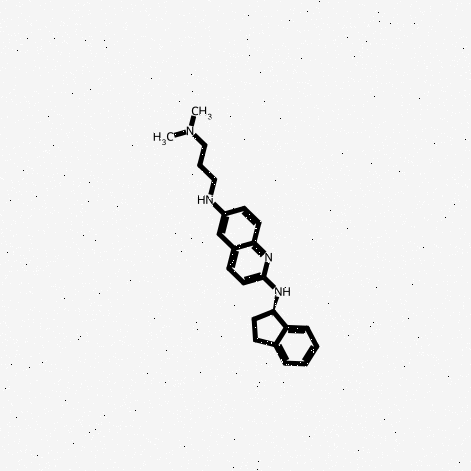 CN(C)CCCNc1ccc2nc(N[C@@H]3CCc4ccccc43)ccc2c1